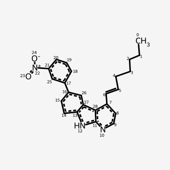 CCCCCC=Cc1ccnc2[nH]c3ccc(-c4cccc([N+](=O)[O-])c4)cc3c12